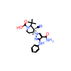 CC(C)(C)C1[C@@H](C#N)[C@H](n2cc(C(N)=O)c(Nc3ccccc3)n2)CCN1C(=O)O